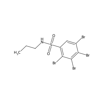 CCCNS(=O)(=O)c1cc(Br)c(Br)c(Br)c1Br